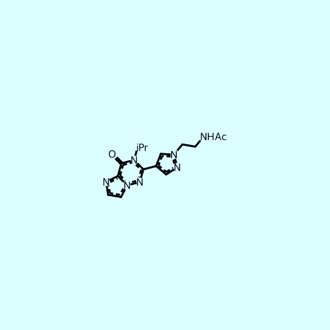 CC(=O)NCCn1cc(-c2nn3ccnc3c(=O)n2C(C)C)cn1